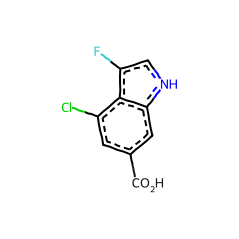 O=C(O)c1cc(Cl)c2c(F)c[nH]c2c1